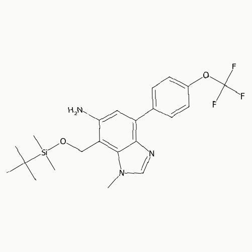 Cn1cnc2c(-c3ccc(OC(F)(F)F)cc3)cc(N)c(CO[Si](C)(C)C(C)(C)C)c21